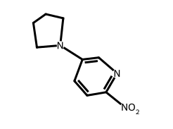 O=[N+]([O-])c1ccc(N2CCCC2)cn1